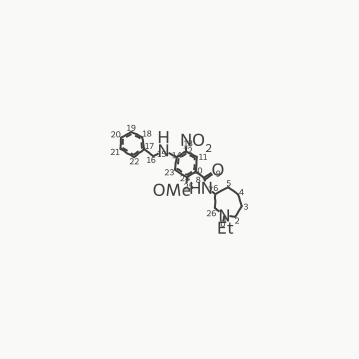 CCN1CCCCC(NC(=O)c2cc([N+](=O)[O-])c(NCc3ccccc3)cc2OC)C1